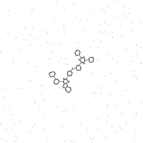 c1ccc(-c2cccc(-c3nc(-c4ccc(Sc5cccc(-c6nc(-c7ccccc7)nc(-c7ccccc7)n6)c5)cc4)nc4c3sc3ccccc34)c2)cc1